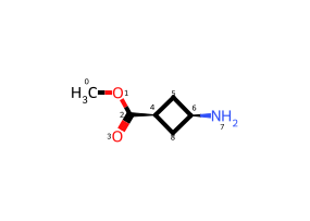 COC(=O)[C@H]1C[C@@H](N)C1